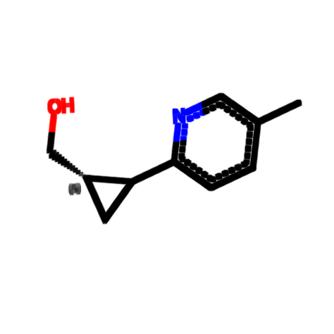 Cc1ccc(C2C[C@@H]2CO)nc1